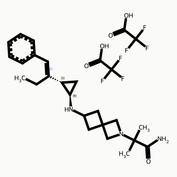 CC/C(=C\c1ccccc1)[C@@H]1C[C@H]1NC1CC2(C1)CN(C(C)(C)C(N)=O)C2.O=C(O)C(F)(F)F.O=C(O)C(F)(F)F